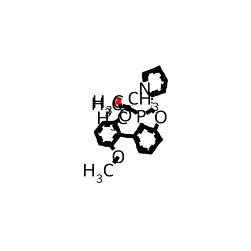 COc1cccc(OC)c1-c1cccc2c1P(C(C)(C)C)[C@H](c1ccccn1)O2